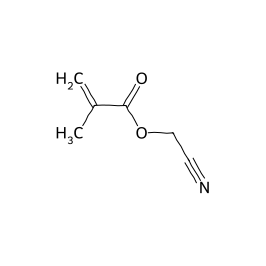 C=C(C)C(=O)OCC#N